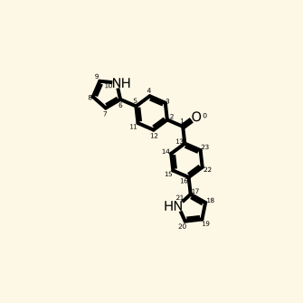 O=C(c1ccc(-c2ccc[nH]2)cc1)c1ccc(-c2ccc[nH]2)cc1